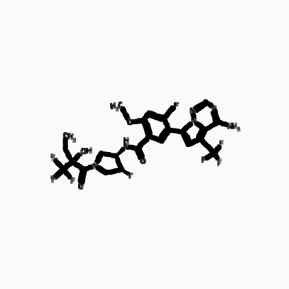 CCC(O)(C(=O)N1C[C@H](F)[C@H](NC(=O)c2cc(-c3cc(C(F)(F)F)c4c(N)ncnn34)c(F)cc2OC)C1)C(F)(F)F